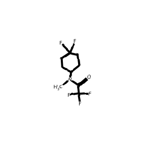 CN(C(=O)C(F)(F)F)C1CCC(F)(F)CC1